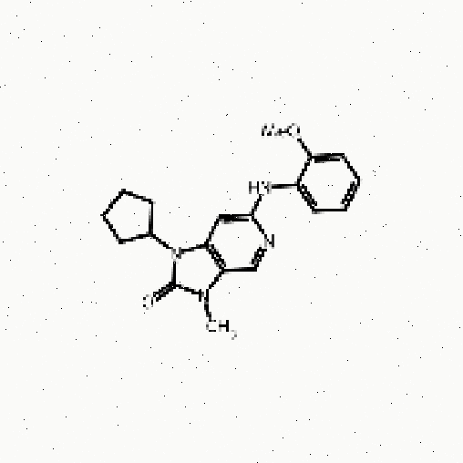 COc1ccccc1Nc1cc2c(cn1)n(C)c(=O)n2C1CCCC1